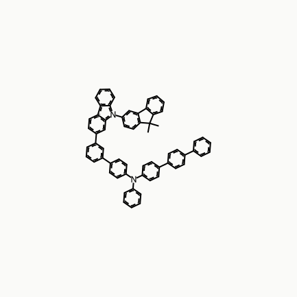 CC1(C)c2ccccc2-c2cc(-n3c4ccccc4c4ccc(-c5cccc(-c6ccc(N(c7ccccc7)c7ccc(-c8ccc(-c9ccccc9)cc8)cc7)cc6)c5)cc43)ccc21